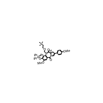 COc1ccc(C2=CN3C(=O)c4cc(OC)c(O[Si](C(C)C)(C(C)C)C(C)C)cc4N(COCC[Si](C)(C)C)C(=O)[C@@H]3C2)cc1